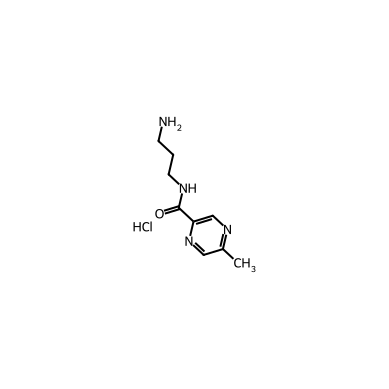 Cc1cnc(C(=O)NCCCN)cn1.Cl